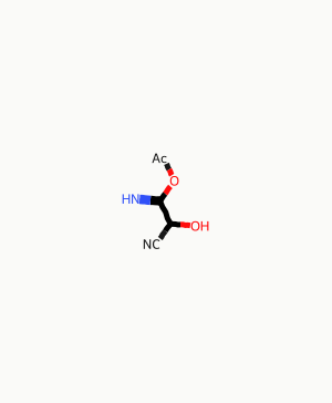 CC(=O)OC(=N)C(O)C#N